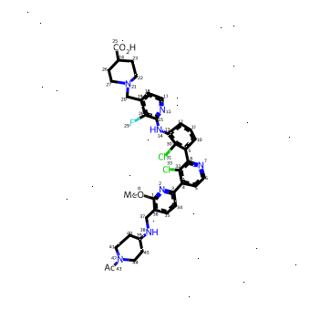 COc1nc(-c2ccnc(-c3cccc(Nc4nccc(CN5CCC(C(=O)O)CC5)c4F)c3Cl)c2Cl)ccc1CNC1CCN(C(C)=O)CC1